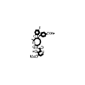 COc1ccc(O[C@H]2CCC[C@H](NC(=O)c3nccc(OC)c3O)C(=O)O[C@@H](C)[C@@H]2Oc2ccc(F)cc2)cc1